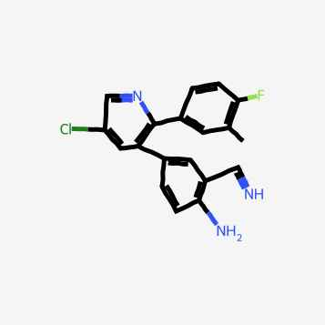 Cc1cc(-c2ncc(Cl)cc2-c2ccc(N)c(C=N)c2)ccc1F